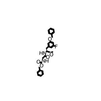 O=C(CNC(=O)OCc1ccccc1)N[C@@H](Cc1cc(F)cc(OCc2ccccc2)c1)[C@H]1CO1